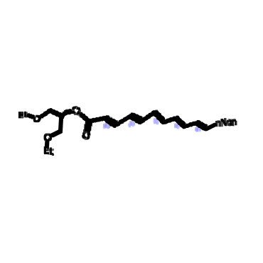 CCCCCCCCC/C=C/C=C/C=C/C=C/C=C/C(=O)OC(COCC)COCC